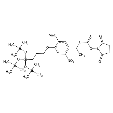 COc1cc(C(C)OC(=O)ON2C(=O)CCC2=O)c([N+](=O)[O-])cc1OCCC[Si](O[Si](C)(C)C)(O[Si](C)(C)C)O[Si](C)(C)C